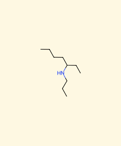 CCCCC(CC)NCCC